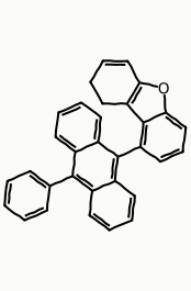 C1=Cc2oc3cccc(-c4c5ccccc5c(-c5ccccc5)c5ccccc45)c3c2CC1